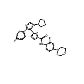 O=C(Nc1ccc(N2CCOCC2)cc1F)c1ccc(-c2c(-c3ccc(F)cc3)ncn2C2CCCC2)o1